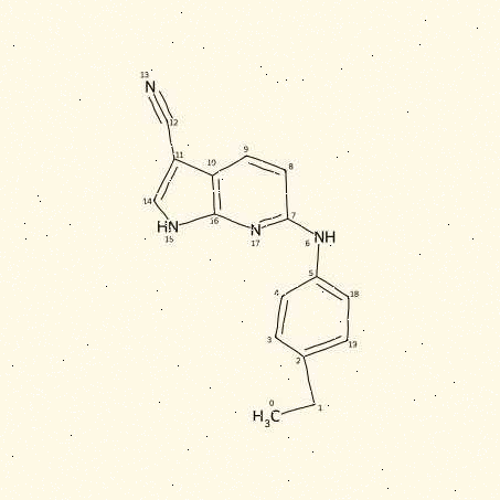 CCc1ccc(Nc2ccc3c(C#N)c[nH]c3n2)cc1